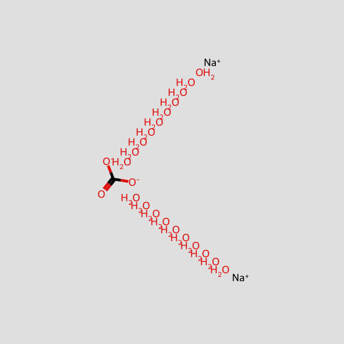 O.O.O.O.O.O.O.O.O.O.O.O.O.O.O.O.O.O.O.O.O=C([O-])[O-].[Na+].[Na+]